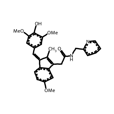 COc1ccc2c(c1)C(CC(=O)NCc1ccccn1)=C(C)C2=Cc1cc(OC)c(O)c(OC)c1